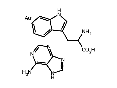 NC(Cc1c[nH]c2ccccc12)C(=O)O.Nc1ncnc2nc[nH]c12.[Au]